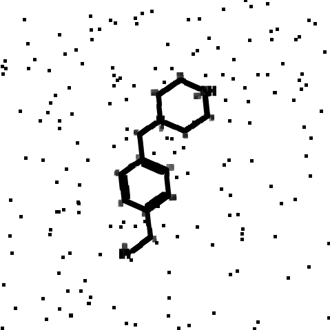 CC(C)Cc1ccc(CN2CCNCC2)cc1